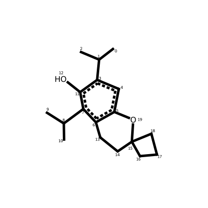 CC(C)c1cc2c(c(C(C)C)c1O)CCC1(CCC1)O2